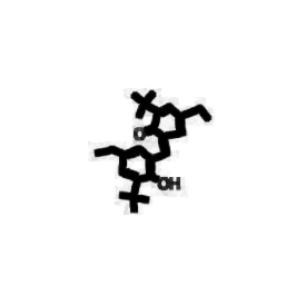 CCC1=CC(=Cc2cc(CC)cc(C(C)(C)C)c2O)C(=O)C(C(C)(C)C)=C1